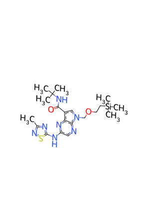 Cc1nsc(Nc2cnc3c(n2)c(C(=O)NC(C)(C)C)cn3COCC[Si](C)(C)C)n1